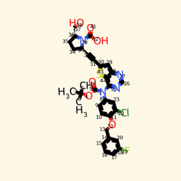 CC(C)(C)OC(=O)N(c1ccc(OCc2cccc(F)c2)c(Cl)c1)c1ncnc2cc(C#C[C@H]3CC[C@H](CO)N3C(=O)O)sc12